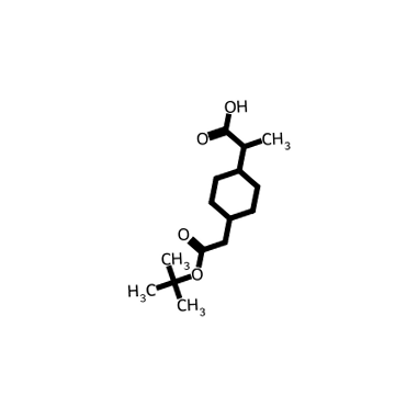 CC(C(=O)O)C1CCC(CC(=O)OC(C)(C)C)CC1